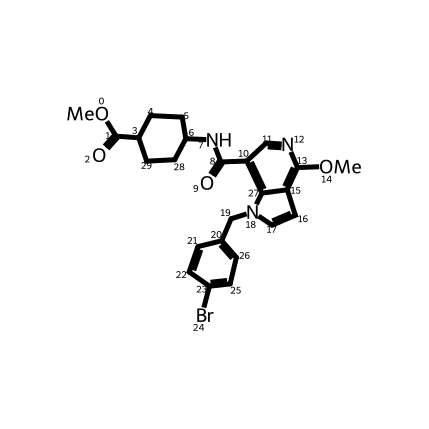 COC(=O)C1CCC(NC(=O)c2cnc(OC)c3ccn(Cc4ccc(Br)cc4)c23)CC1